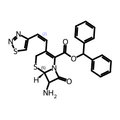 NC1C(=O)N2C(C(=O)OC(c3ccccc3)c3ccccc3)=C(/C=C\c3csnn3)CS[C@@H]12